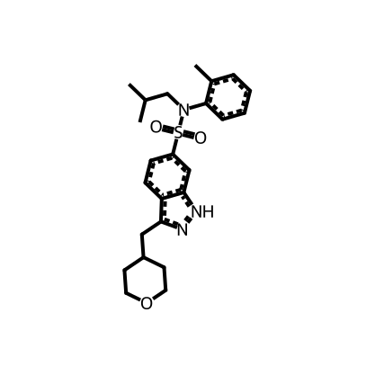 Cc1ccccc1N(CC(C)C)S(=O)(=O)c1ccc2c(CC3CCOCC3)n[nH]c2c1